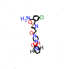 NC(=O)c1ccc(Cl)cc1-c1nc(CC(=O)N2CCN(CC(=O)N3[C@@H]4CC[C@H]3C[C@@H](O)C4)CC2)cs1